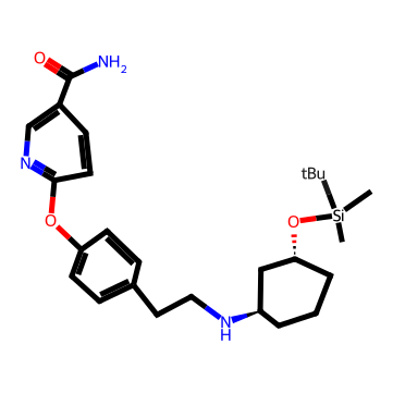 CC(C)(C)[Si](C)(C)O[C@@H]1CCC[C@@H](NCCc2ccc(Oc3ccc(C(N)=O)cn3)cc2)C1